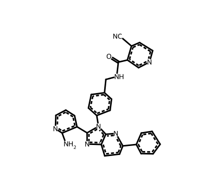 N#Cc1ccncc1C(=O)NCc1ccc(-n2c(-c3cccnc3N)nc3ccc(-c4ccccc4)nc32)cc1